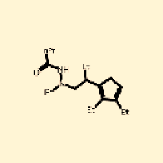 CCCC(=O)NN(CC(CC)C1=C(CC)C(CC)=CC1)C(C)C